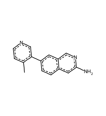 Cc1ccncc1-c1ccc2cc(N)ncc2c1